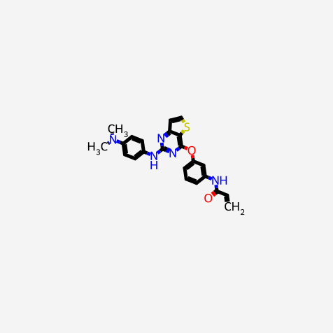 C=CC(=O)Nc1cccc(Oc2nc(Nc3ccc(N(C)C)cc3)nc3ccsc23)c1